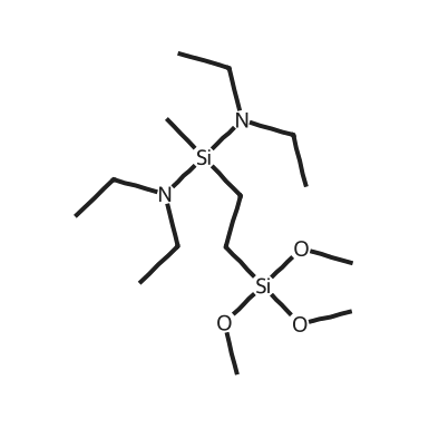 CCN(CC)[Si](C)(CC[Si](OC)(OC)OC)N(CC)CC